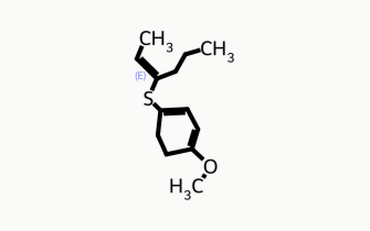 C/C=C(\CCC)SC1=CC=C(OC)CC1